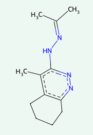 CC(C)=NNc1nnc2c(c1C)CCCC2